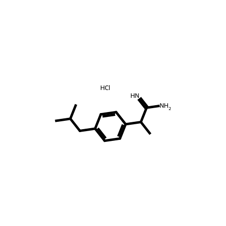 CC(C)Cc1ccc(C(C)C(=N)N)cc1.Cl